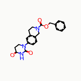 O=C1CCN(c2ccc3c(c2)CCN(C(=O)OCc2ccccc2)C3)C(=O)N1